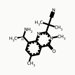 Cc1cc([C@@H](C)N)c2nc(C(C)(C)C#N)n(C)c(=O)c2c1